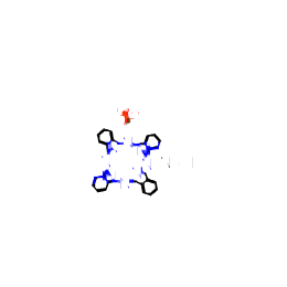 O=[S](=O)(O)[Cu].[NaH].c1ccc2c(c1)-c1nc-2nc2[nH]c(nc3nc(nc4[nH]c(n1)c1ccccc41)-c1ccccc1-3)c1ccccc21